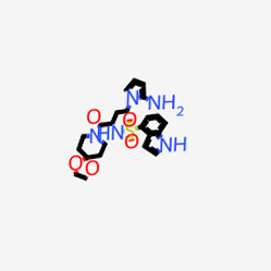 Nc1cccn1CCC(NS(=O)(=O)c1cccc2[nH]ccc12)C(=O)N1CCC2(CC1)OCCO2